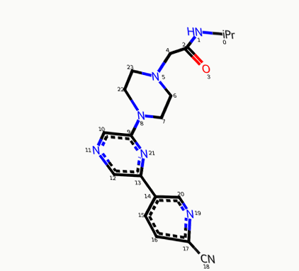 CC(C)NC(=O)CN1CCN(c2cncc(-c3ccc(C#N)nc3)n2)CC1